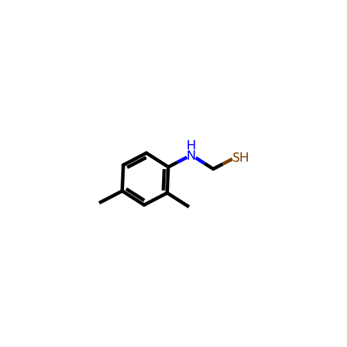 Cc1ccc(NCS)c(C)c1